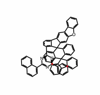 c1ccc(-c2nc(-c3cccc4c3C3(c5cc6oc7ccccc7c6cc5-4)c4ccccc4C4(c5ccccc5-c5ccccc54)c4ccccc43)nc(-c3cccc4ccccc34)n2)cc1